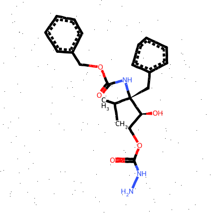 CC(C)[C@](Cc1ccccc1)(NC(=O)OCc1ccccc1)[C@@H](O)COC(=O)NN